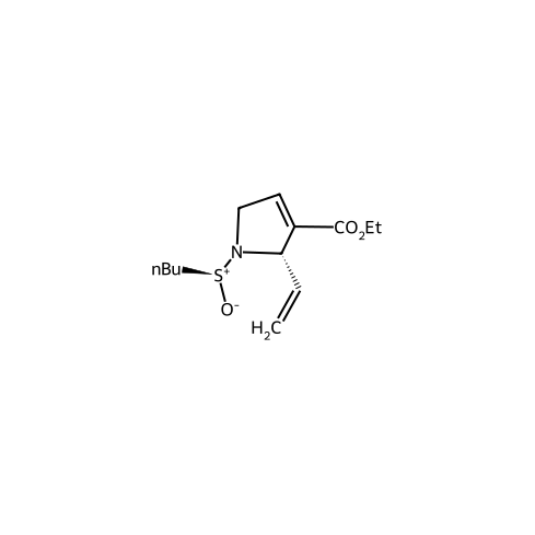 C=C[C@H]1C(C(=O)OCC)=CCN1[S@@+]([O-])CCCC